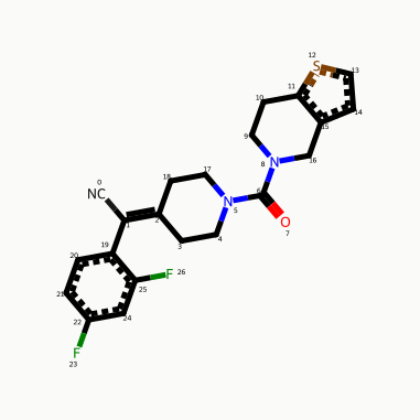 N#CC(=C1CCN(C(=O)N2CCc3sccc3C2)CC1)c1ccc(F)cc1F